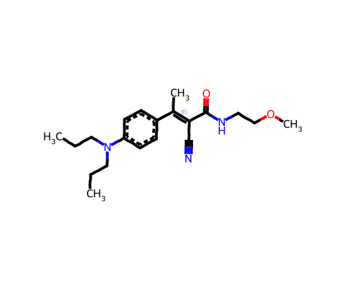 CCCN(CCC)c1ccc(/C(C)=C(\C#N)C(=O)NCCOC)cc1